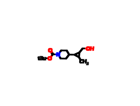 CC1C(CO)C1C1CCN(C(=O)OC(C)(C)C)CC1